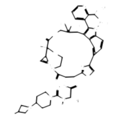 CCn1c(-c2cccnc2[C@H](C)OC)c2c3cc(ccc31)-c1csc(n1)C[C@H](NC(=O)[C@H](C(C)C)N(C)C(=O)N1CCC(N3CC(F)C3)CC1)C(=O)N1CCC[C@@H](C(=O)OCC(C)(C)C2)C2C=[N+]21